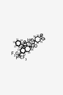 O=C(N1CC[C@@]2(S(=O)(=O)c3ccccc3)c3ccc(C(F)(C(F)(F)F)C(F)(F)F)cc3CC[C@@H]12)C1(O)CCS(=O)(=O)CC1